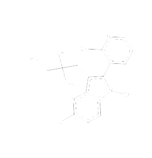 CCn1c(-c2cccnc2C(C)C)c(CC(C)(C)CO)c2nc(Cl)ccc21